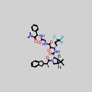 C[C@H](C(=O)N1C[C@H]2[C@@H]([C@H]1C(=O)N[C@@H](CCC(F)(F)F)C(=O)C(=O)NCC(=O)N[C@H](C(=O)N(C)C)c1ccccc1)C2(C)C)C1Cc2ccccc2C1